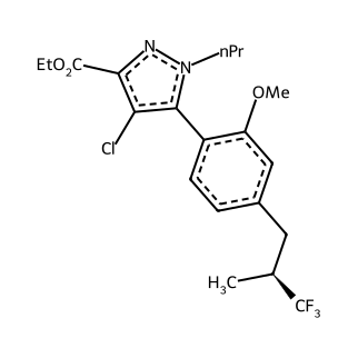 CCCn1nc(C(=O)OCC)c(Cl)c1-c1ccc(C[C@H](C)C(F)(F)F)cc1OC